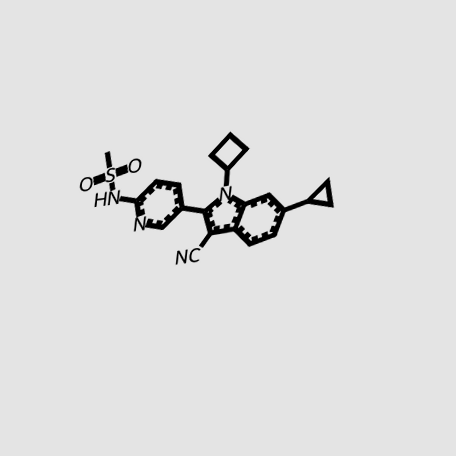 CS(=O)(=O)Nc1ccc(-c2c(C#N)c3ccc(C4CC4)cc3n2C2CCC2)cn1